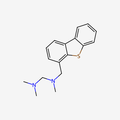 CN(C)CN(C)Cc1cccc2c1sc1ccccc12